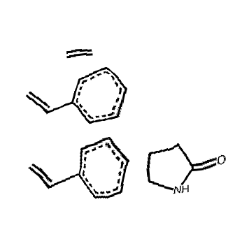 C=C.C=Cc1ccccc1.C=Cc1ccccc1.O=C1CCCN1